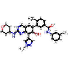 Cc1ccc(C(=O)Nc2cccc(C(F)(F)F)c2)cc1-c1cc2cnc(NC3CCOCC3)nc2c(-c2cnn(C)c2)c1O